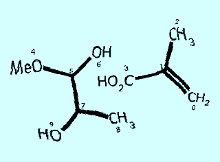 C=C(C)C(=O)O.COC(O)C(C)O